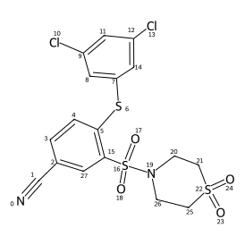 N#Cc1ccc(Sc2cc(Cl)cc(Cl)c2)c(S(=O)(=O)N2CCS(=O)(=O)CC2)c1